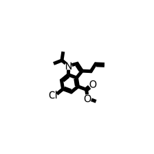 C=CCc1cn(C(C)C)c2cc(Cl)cc(C(=O)OC)c12